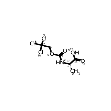 C[C@H](NC(=O)OCC(Cl)(Cl)Cl)C(=O)O